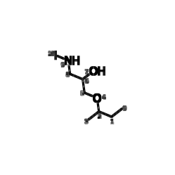 CCC(C)OCC(O)CNI